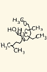 CCC(C)(CN(CCO)CCC(C)C)CC(C)(C)COC